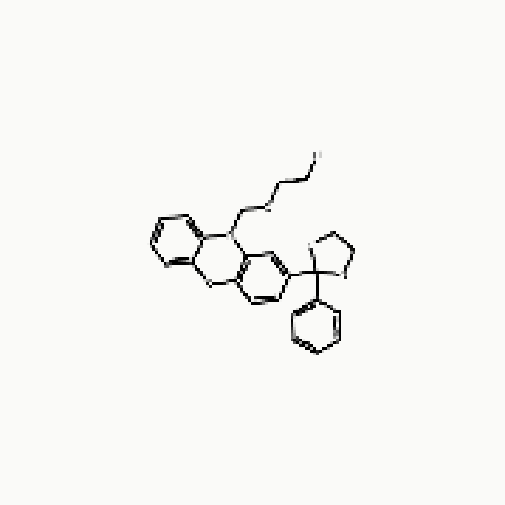 ClCCOCN1c2ccccc2Sc2ccc(C3(c4ccccc4)OCCO3)cc21